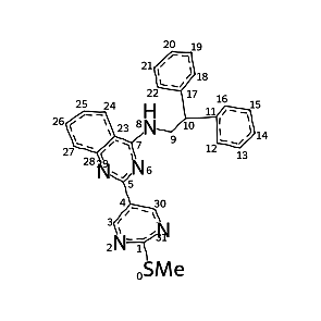 CSc1ncc(-c2nc(NCC(c3ccccc3)c3ccccc3)c3ccccc3n2)cn1